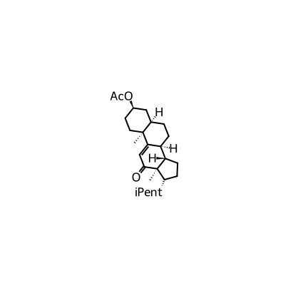 CCC[C@@H](C)C1CC[C@H]2[C@@H]3CC[C@@H]4C[C@H](OC(C)=O)CC[C@]4(C)C3=CC(=O)[C@]12C